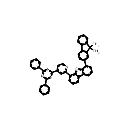 CC1(C)c2ccccc2-c2ccc(-c3cccc4c3oc3c(-c5cc(-c6nc(-c7ccccc7)nc(-c7ccccc7)n6)ccn5)cccc34)cc21